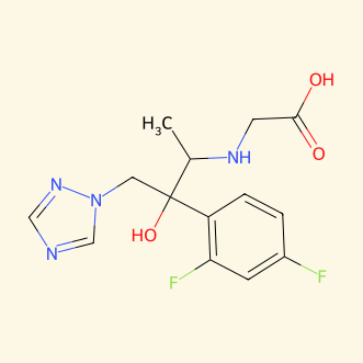 CC(NCC(=O)O)C(O)(Cn1cncn1)c1ccc(F)cc1F